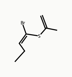 C=C(C)S/C(Br)=C\CC